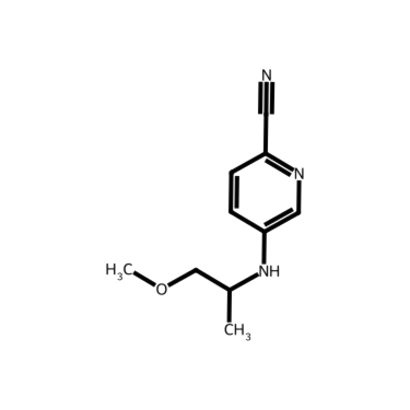 COCC(C)Nc1ccc(C#N)nc1